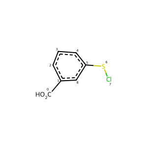 O=C(O)c1cccc(SCl)c1